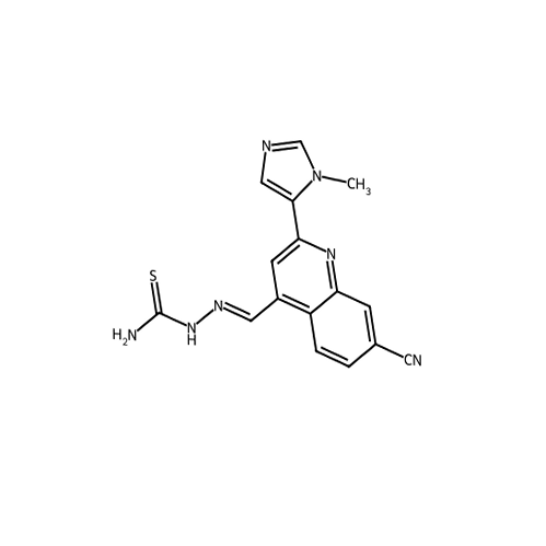 Cn1cncc1-c1cc(/C=N/NC(N)=S)c2ccc(C#N)cc2n1